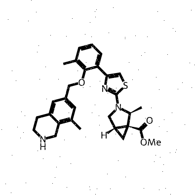 COC(=O)[C@@]12C[C@@H]1CN(c1nc(-c3cccc(C)c3OCc3cc(C)c4c(c3)CCNC4)cs1)[C@H]2C